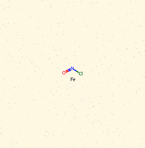 O=NCl.[Fe]